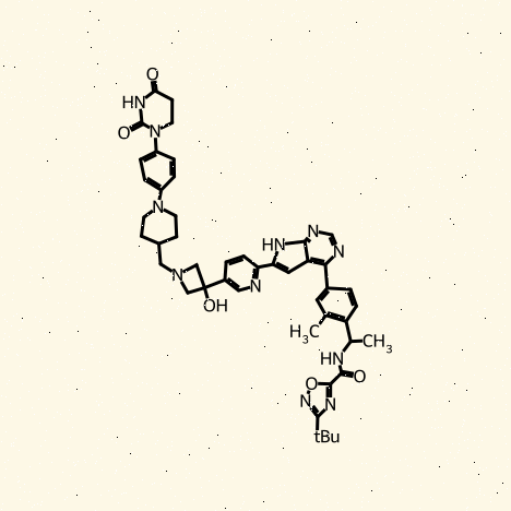 Cc1cc(-c2ncnc3[nH]c(-c4ccc(C5(O)CN(CC6CCN(c7ccc(N8CCC(=O)NC8=O)cc7)CC6)C5)cn4)cc23)ccc1C(C)NC(=O)c1nc(C(C)(C)C)no1